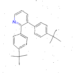 CC(C)(C)c1ccc(-c2cccnc2-c2ccc(C(C)(C)C)cc2)cc1